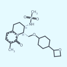 Cc1ccc2n(c1=O)[C@@H](COC1CCC(C3CCO3)CC1)[C@@H](NS(C)(=O)=O)CC2